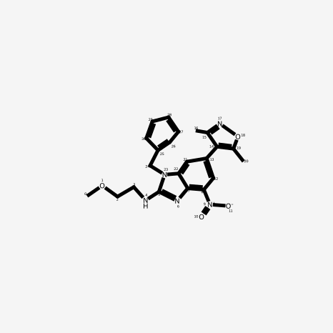 COCCNc1nc2c([N+](=O)[O-])cc(-c3c(C)noc3C)cc2n1Cc1ccccc1